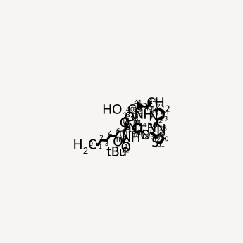 C=CCCCCC[C@H](NC(=O)OC(C)(C)C)C(=O)N1C[C@H](Oc2nc(-c3ccccn3)nc3ccsc23)C[C@H]1C(=O)N[C@]1(C(=O)O)C[C@H]1C=C